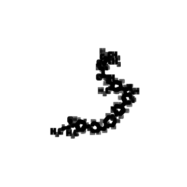 CCCN(C)c1ccc(N2CCC(CN3CCN(c4ccc(-c5cnc6[nH]nc(-c7ccc(CNC(=O)c8noc(C(C)(C)C)n8)c(C)c7)c6c5)cn4)CC3)CC2)cc1C